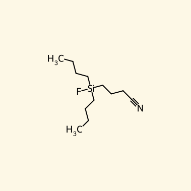 CCCC[Si](F)(CCCC)CCCC#N